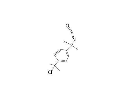 CC(C)(Cl)c1ccc(C(C)(C)N=C=O)cc1